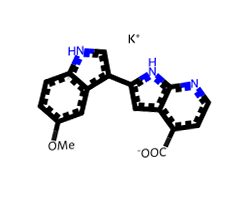 COc1ccc2[nH]cc(-c3cc4c(C(=O)[O-])ccnc4[nH]3)c2c1.[K+]